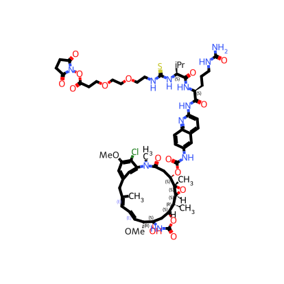 COc1cc2cc(c1Cl)N(C)C(=O)C[C@H](OC(=O)Nc1ccc3nc(NC(=O)[C@H](CCCNC(N)=O)NC(=O)[C@@H](NC(=S)NCCOCCOCCC(=O)ON4C(=O)CCC4=O)C(C)C)ccc3c1)[C@]1(C)O[C@H]1[C@H](C)[C@@H]1C[C@@](O)(NC(=O)O1)[C@H](OC)/C=C/C=C(\C)C2